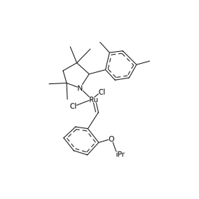 Cc1ccc(C2[N]([Ru]([Cl])([Cl])=[CH]c3ccccc3OC(C)C)C(C)(C)CC2(C)C)c(C)c1